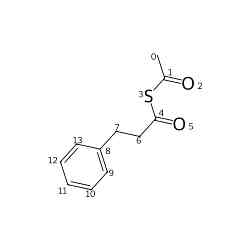 CC(=O)SC(=O)CCc1ccccc1